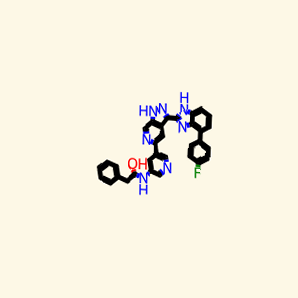 OC(Cc1ccccc1)Nc1cncc(-c2cc3c(-c4nc5c(-c6ccc(F)cc6)cccc5[nH]4)n[nH]c3cn2)c1